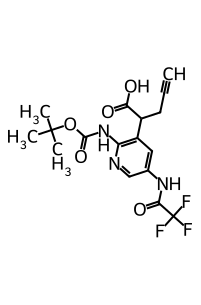 C#CCC(C(=O)O)c1cc(NC(=O)C(F)(F)F)cnc1NC(=O)OC(C)(C)C